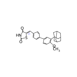 COc1ccc(-c2ccc(/C=C3\SC(=O)NC3=O)cc2)cc1C12CC3CC(CC(C3)C1)C2